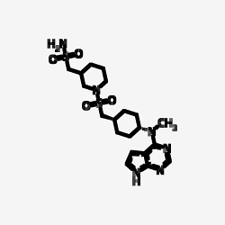 CN(c1ncnc2[nH]ccc12)[C@H]1CC[C@H](CS(=O)(=O)N2CCCC(CS(N)(=O)=O)C2)CC1